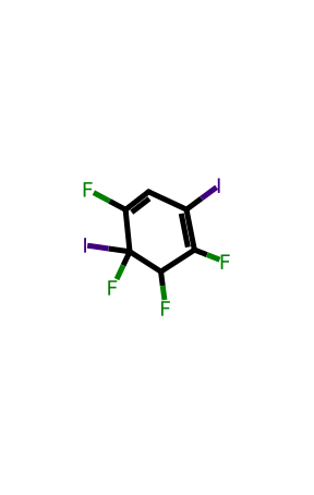 FC1=CC(I)=C(F)C(F)C1(F)I